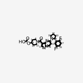 O=C(O)OC1CCN(C(=O)c2cnn3ccc(N4CCC[C@@H]4c4cc(F)ccc4F)nc23)CC1